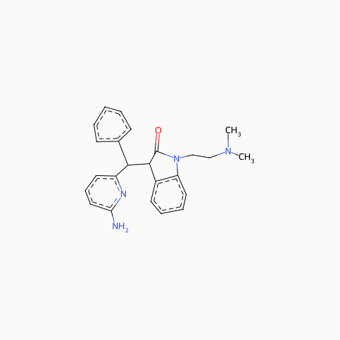 CN(C)CCN1C(=O)C(C(c2ccccc2)c2cccc(N)n2)c2ccccc21